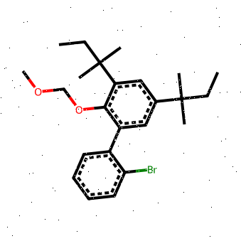 CCC(C)(C)c1cc(-c2ccccc2Br)c(OCOC)c(C(C)(C)CC)c1